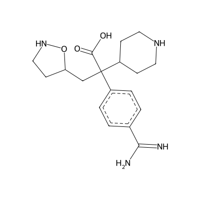 N=C(N)c1ccc(C(CC2CCNO2)(C(=O)O)C2CCNCC2)cc1